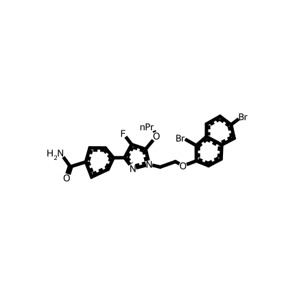 CCCOc1c(F)c(-c2ccc(C(N)=O)cc2)nn1CCOc1ccc2cc(Br)ccc2c1Br